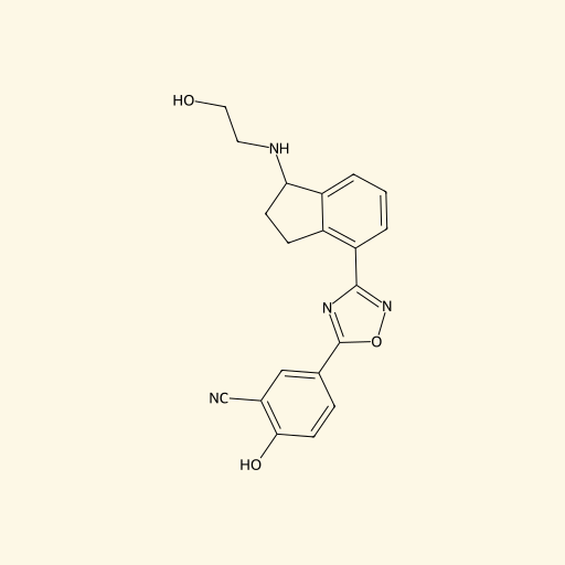 N#Cc1cc(-c2nc(-c3cccc4c3CCC4NCCO)no2)ccc1O